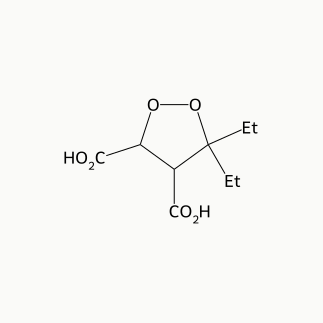 CCC1(CC)OOC(C(=O)O)C1C(=O)O